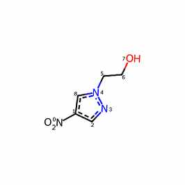 O=[N+]([O-])c1cnn(CCO)c1